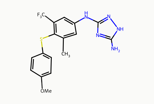 COc1ccc(Sc2c(C)cc(Nc3n[nH]c(N)n3)cc2C(F)(F)F)cc1